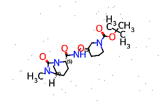 CN1C(=O)N2C[C@H]1CC[C@H]2C(=O)NO[C@H]1CCCN(C(=O)OC(C)(C)C)C1